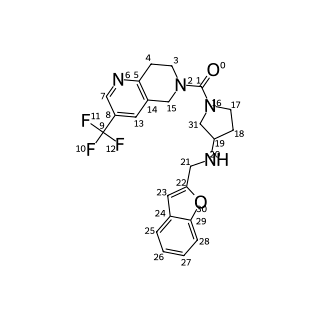 O=C(N1CCc2ncc(C(F)(F)F)cc2C1)N1CCC(NCc2cc3ccccc3o2)C1